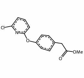 COC(=O)Cc1ccc(Oc2cccc(Cl)n2)cc1